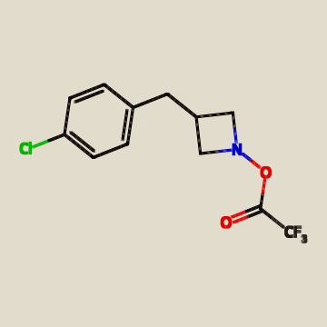 O=C(ON1CC(Cc2ccc(Cl)cc2)C1)C(F)(F)F